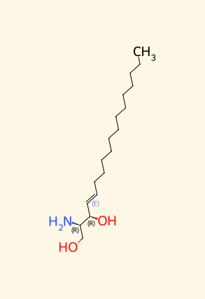 CCCCCCCCCCCCC/C=C/[C@@H](O)[C@H](N)CO